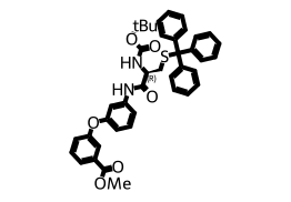 COC(=O)c1cccc(Oc2cccc(NC(=O)[C@H](CSC(c3ccccc3)(c3ccccc3)c3ccccc3)NC(=O)OC(C)(C)C)c2)c1